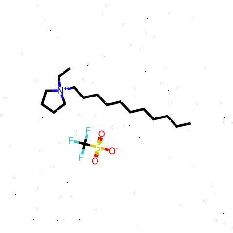 CCCCCCCCCCC[N+]1(CC)CCCC1.O=S(=O)([O-])C(F)(F)F